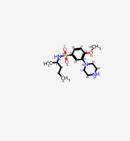 CCCC(C)NS(=O)(=O)c1ccc(OC)c(N2CCNCC2)c1